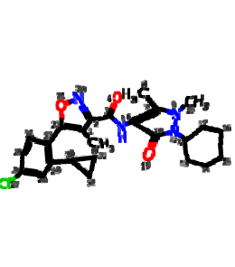 Cc1c(C(=O)Nc2c(C)n(C)n(C3CCCCC3)c2=O)noc1-c1ccc(Cl)cc1C1CC1